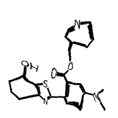 CN(C)c1ccc(-c2nc3c(s2)C(O)CCC3)c(C(=O)OCc2cccnc2)c1